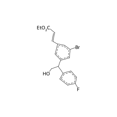 CCOC(=O)C=Cc1cc(Br)cc(C(CO)c2ccc(F)cc2)c1